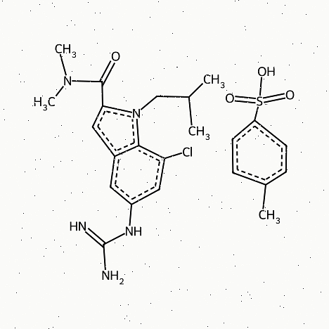 CC(C)Cn1c(C(=O)N(C)C)cc2cc(NC(=N)N)cc(Cl)c21.Cc1ccc(S(=O)(=O)O)cc1